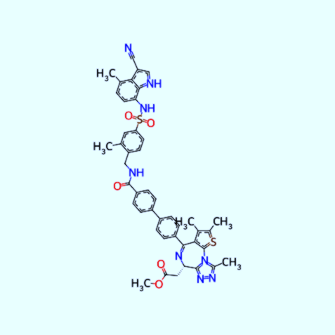 COC(=O)C[C@@H]1N=C(c2ccc(-c3ccc(C(=O)NCc4ccc(S(=O)(=O)Nc5ccc(C)c6c(C#N)c[nH]c56)cc4C)cc3)cc2)c2c(sc(C)c2C)-n2c(C)nnc21